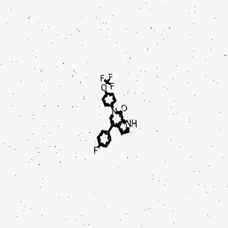 O=c1c2[nH]ccc2c(-c2ccc(F)cc2)cn1-c1ccc(OC(F)(F)F)cc1